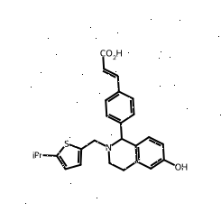 CC(C)c1ccc(CN2CCc3cc(O)ccc3C2c2ccc(/C=C/C(=O)O)cc2)s1